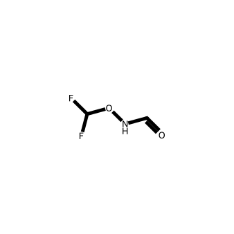 O=CNOC(F)F